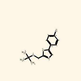 CC(C)(C)OCc1ncc(-c2ccc(Cl)cc2)o1